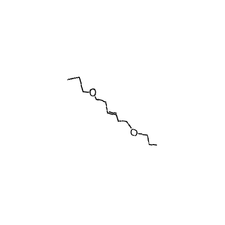 CCCOCCC=CCCOCCC